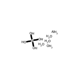 O.O.O.O.O[Si](O)(O)O.[AlH3]